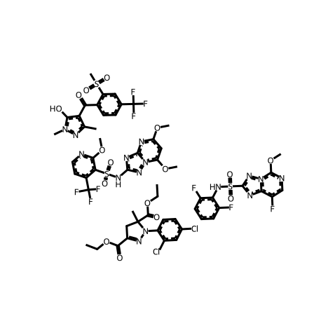 CCOC(=O)C1=NN(c2ccc(Cl)cc2Cl)C(C)(C(=O)OCC)C1.COc1cc(OC)n2nc(NS(=O)(=O)c3c(C(F)(F)F)ccnc3OC)nc2n1.COc1ncc(F)c2nc(S(=O)(=O)Nc3c(F)cccc3F)nn12.Cc1nn(C)c(O)c1C(=O)c1ccc(C(F)(F)F)cc1S(C)(=O)=O